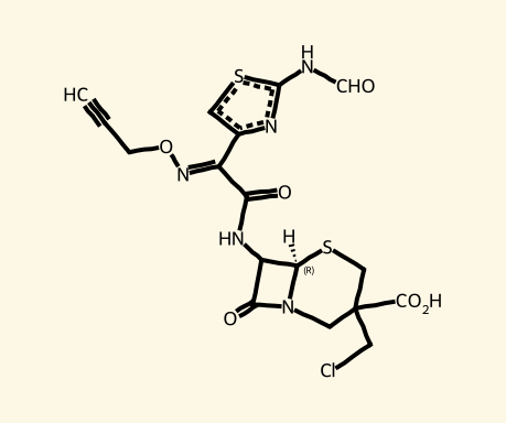 C#CCON=C(C(=O)NC1C(=O)N2CC(CCl)(C(=O)O)CS[C@H]12)c1csc(NC=O)n1